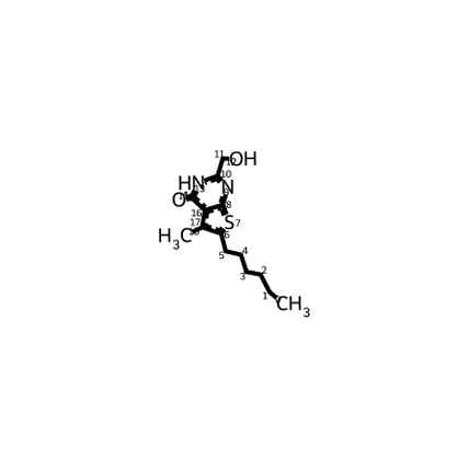 CCCCCCc1sc2nc(CO)[nH]c(=O)c2c1C